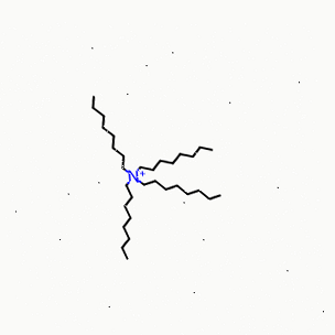 CCCCCCCC[N+](CCCCCCCC)(CCCCCCCC)CCCCCCCC